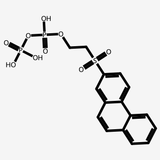 O=P(O)(O)OP(=O)(O)OCCS(=O)(=O)c1ccc2c(ccc3ccccc32)c1